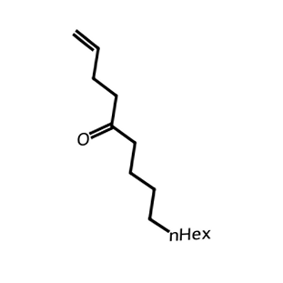 C=CCCC(=O)CCCCCCCCCC